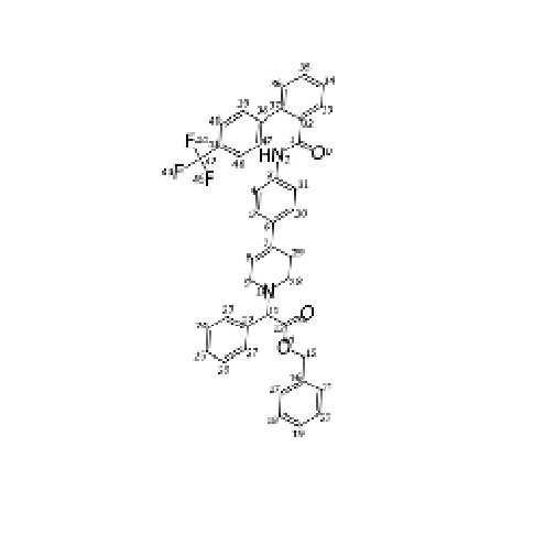 O=C(Nc1ccc(C2=CCN(C(C(=O)OCc3ccccc3)c3ccccc3)CC2)cc1)c1ccccc1-c1ccc(C(F)(F)F)cc1